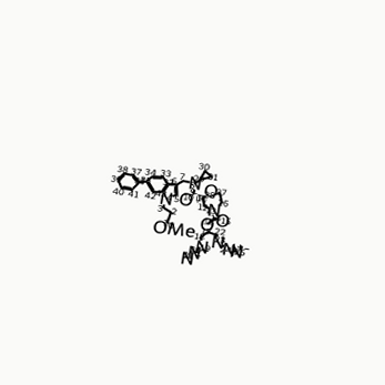 COCCCn1cc(CN(C(=O)[C@H]2CN(C(=O)OC(CN=[N+]=[N-])CN=[N+]=[N-])CCO2)C2CC2)c2ccc(-c3ccccc3)cc21